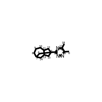 Cc1nnc(C23CC4CCCC(C2)C(C4)C3)nc1C